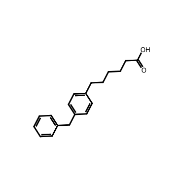 O=C(O)CCCCCc1ccc(Cc2ccccc2)cc1